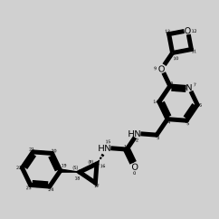 O=C(NCc1ccnc(OC2COC2)c1)N[C@@H]1C[C@H]1c1ccccc1